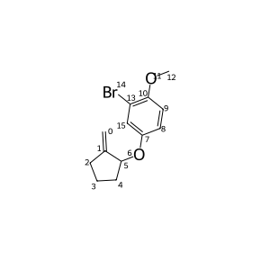 C=C1CCCC1Oc1ccc(OC)c(Br)c1